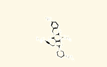 CC#CCn1c(N2CCC[C@@H](N)C2)nc2c1c(=O)n(Cc1cccc(C#N)c1)c(=O)n2C